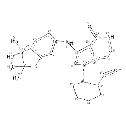 CC1(C)Cc2cc(Nc3nn(C4CCCCC4C#N)c4cc[nH]c(=O)c34)ccc2S1(O)O